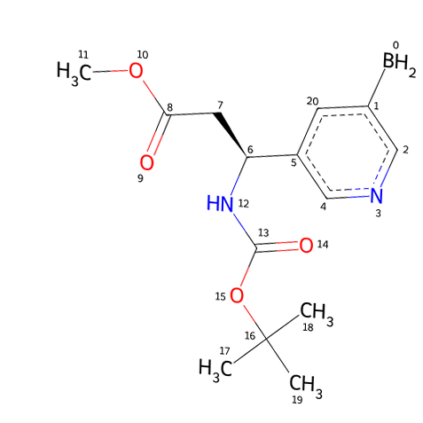 Bc1cncc([C@H](CC(=O)OC)NC(=O)OC(C)(C)C)c1